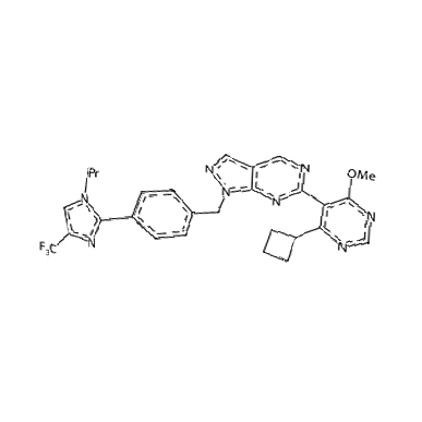 COc1ncnc(C2CCC2)c1-c1ncc2cnn(Cc3ccc(-c4nc(C(F)(F)F)cn4C(C)C)cc3)c2n1